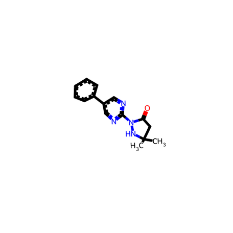 CC1(C)CC(=O)N(c2ncc(-c3ccccc3)cn2)N1